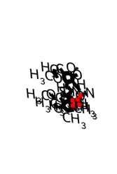 COCOc1c(OC)c(C)cc2c1[C@@H]1C3[C@@H]4SC[C@H](N(C)C)C(=O)OC[C@@H](c5c6c(c(C)c(OC(C)=O)c54)OCO6)N3[C@@H](C#N)[C@H](C2)N1C